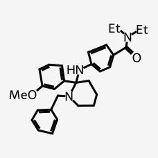 CCN(CC)C(=O)c1ccc(NC2(c3cccc(OC)c3)CCCCN2Cc2ccccc2)cc1